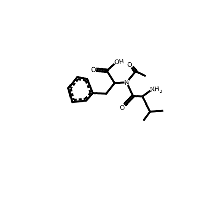 CC(=O)N(C(=O)C(N)C(C)C)C(Cc1ccccc1)C(=O)O